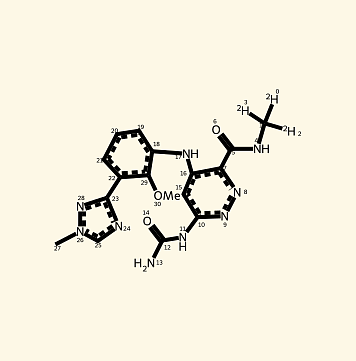 [2H]C([2H])([2H])NC(=O)c1nnc(NC(N)=O)cc1Nc1cccc(-c2ncn(C)n2)c1OC